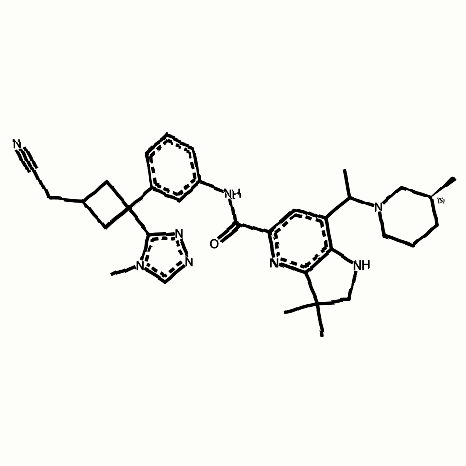 CC(c1cc(C(=O)Nc2cccc(C3(c4nncn4C)CC(CC#N)C3)c2)nc2c1NCC2(C)C)N1CCC[C@H](C)C1